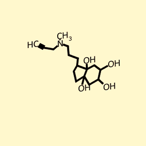 C#CCN(C)CCCC1CCC2(O)CC(O)C(O)CC12O